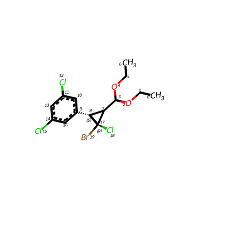 CCOC(OCC)C1[C@@H](c2cc(Cl)cc(Cl)c2)[C@@]1(Cl)Br